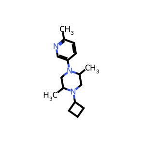 Cc1ccc(N2CC(C)N(C3CCC3)CC2C)cn1